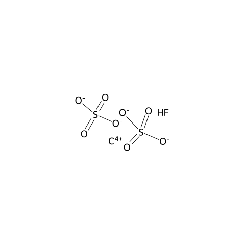 F.O=S(=O)([O-])[O-].O=S(=O)([O-])[O-].[C+4]